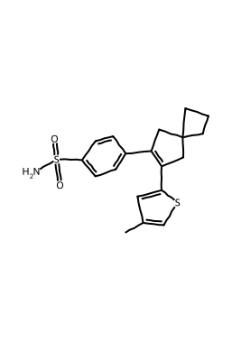 Cc1csc(C2=C(c3ccc(S(N)(=O)=O)cc3)CC3(CCC3)C2)c1